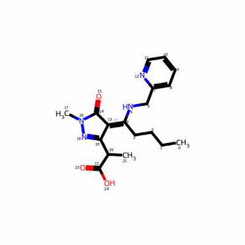 CCCC/C(NCc1ccccn1)=C1/C(=O)N(C)N=C1C(C)C(=O)O